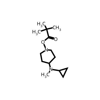 CN(C1CC1)C1CCN(OC(=O)C(C)(C)C)CC1